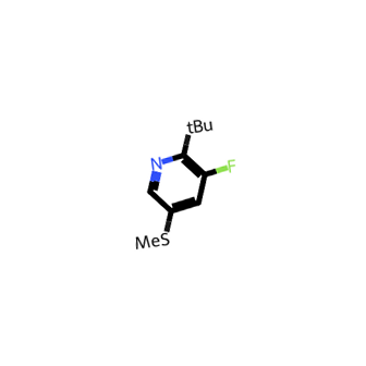 CSc1cnc(C(C)(C)C)c(F)c1